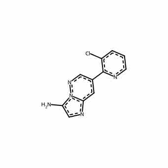 Nc1cnc2cc(-c3ncccc3Cl)cnn12